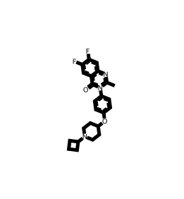 Cc1nc2cc(F)c(F)cc2c(=O)n1-c1ccc(OC2CCN(C3CCC3)CC2)cc1